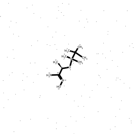 C[C@@H](O[Si](C)(C)C(C)(C)C)/C(N)=N/O